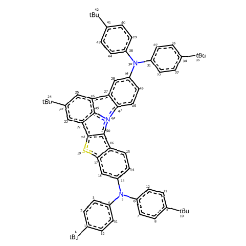 CC(C)(C)c1ccc(N(c2ccc(C(C)(C)C)cc2)c2ccc3c(c2)sc2c4cc(C(C)(C)C)cc5c6cc(N(c7ccc(C(C)(C)C)cc7)c7ccc(C(C)(C)C)cc7)ccc6n(c54)c32)cc1